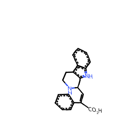 O=C(O)C(=CC1NCCc2c1[nH]c1ccccc21)c1ccccc1